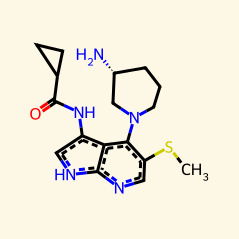 CSc1cnc2[nH]cc(NC(=O)C3CC3)c2c1N1CCC[C@@H](N)C1